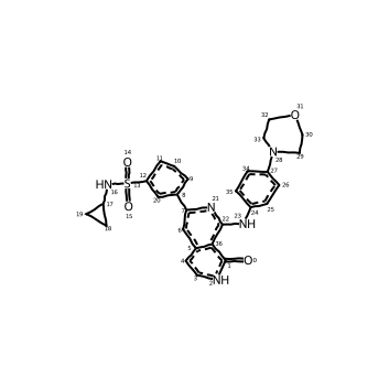 O=c1[nH]ccc2cc(-c3cccc(S(=O)(=O)NC4CC4)c3)nc(Nc3ccc(N4CCOCC4)cc3)c12